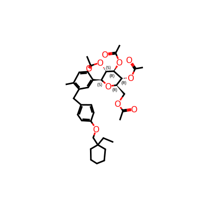 CCC1(COc2ccc(Cc3cc([C@@H]4O[C@H](COC(C)=O)[C@@H](OC(C)=O)[C@H](OC(C)=O)[C@H]4OC(C)=O)ccc3C)cc2)CCCCC1